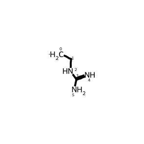 [CH2]CNC(=N)N